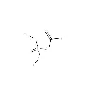 CCCC(=O)OP(=O)(OCC)OCC